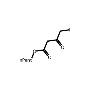 CCCCCOC(=O)CC(=O)CI